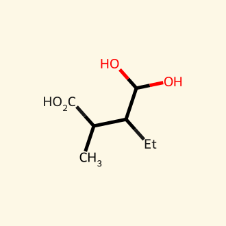 CCC(C(O)O)C(C)C(=O)O